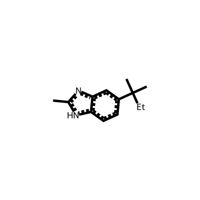 CCC(C)(C)c1ccc2[nH]c(C)nc2c1